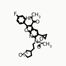 CNC(=O)c1c(-c2ccc(F)cc2)oc2nc(N(CCC3CC[S+]([O-])C3)S(C)(=O)=O)c(C3CC3)cc12